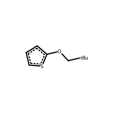 CCCC[CH]Oc1cccs1